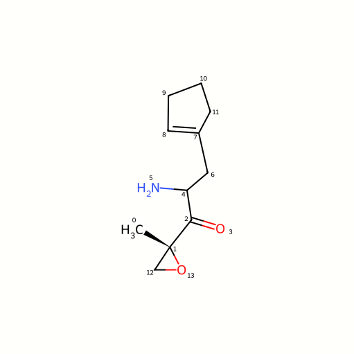 C[C@]1(C(=O)C(N)CC2=CCCC2)CO1